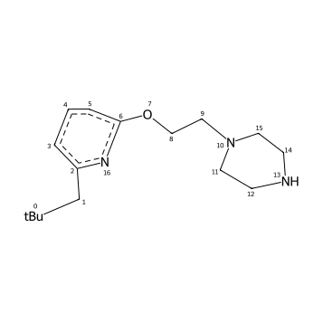 CC(C)(C)Cc1cccc(OCCN2CCNCC2)n1